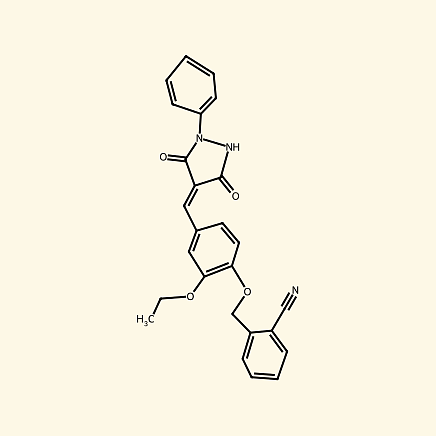 CCOc1cc(/C=C2\C(=O)NN(c3ccccc3)C2=O)ccc1OCc1ccccc1C#N